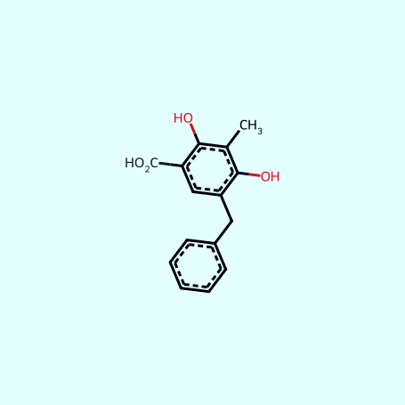 Cc1c(O)c(Cc2ccccc2)cc(C(=O)O)c1O